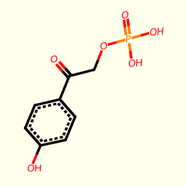 O=C(COP(=O)(O)O)c1ccc(O)cc1